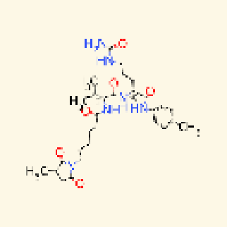 Cc1ccc(NC(=O)[C@H](CCCNC(N)=O)NC(=O)[C@@H](NC(=O)CCCCCN2C(=O)CC(C)C2=O)C(C)C)cc1